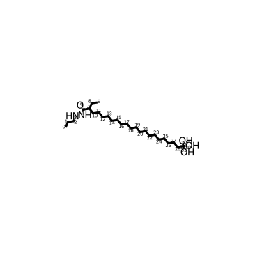 CCCNNC(=O)C(CC)CCCCCCCCCCCCCCCCCCCC(O)(O)O